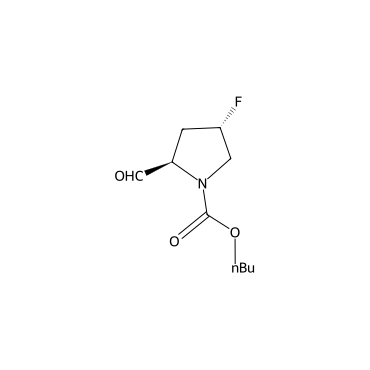 CCCCOC(=O)N1C[C@@H](F)C[C@@H]1C=O